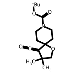 CC(C)(C)OC(=O)N1CCC2(CC1)OCC(C)(C)C2=C=O